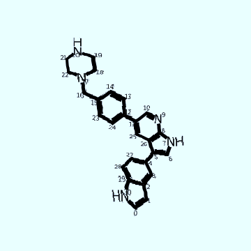 c1cc2cc(-c3c[nH]c4ncc(-c5ccc(CN6CCNCC6)cc5)cc34)ccc2[nH]1